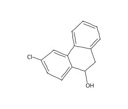 OC1Cc2ccccc2-c2cc(Cl)ccc21